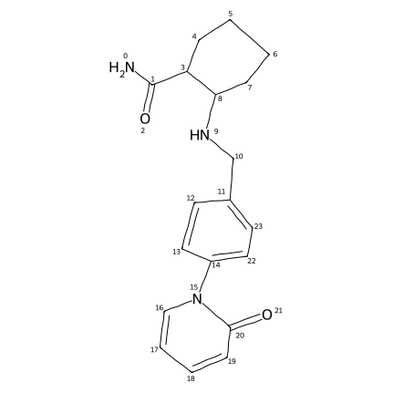 NC(=O)C1CCCCC1NCc1ccc(-n2ccccc2=O)cc1